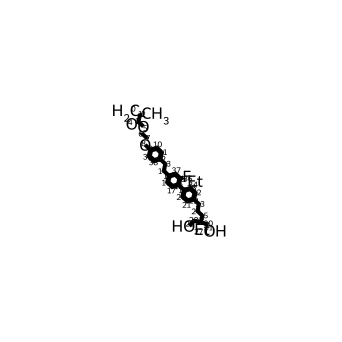 C=C(C)C(=O)OCCOc1ccc(CCc2ccc(-c3ccc(CCCC(CC)(CO)CO)cc3CC)c(F)c2)cc1